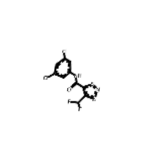 O=C(Nc1cc(Cl)cc(Cl)c1)c1snnc1C(F)F